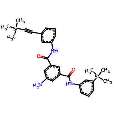 C[Si](C)(C)C#Cc1cccc(NC(=O)c2cc(N)cc(C(=O)Nc3cccc([Si](C)(C)C)c3)c2)c1